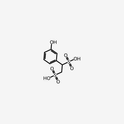 O=S(=O)(O)CC(c1cccc(O)c1)S(=O)(=O)O